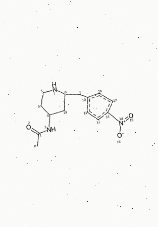 CC(=O)NC1CCNC(Cc2ccc([N+](=O)[O-])cc2)C1